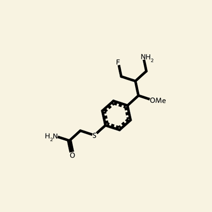 COC(c1ccc(SCC(N)=O)cc1)C(CN)CF